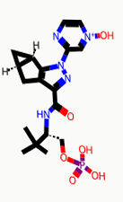 CC(C)(C)[C@@H](COP(=O)(O)O)NC(=O)c1nn(-c2c[n+](O)ccn2)c2c1C[C@H]1C[C@@H]21